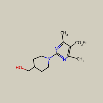 CCOC(=O)c1c(C)nc(N2CCC(CO)CC2)nc1C